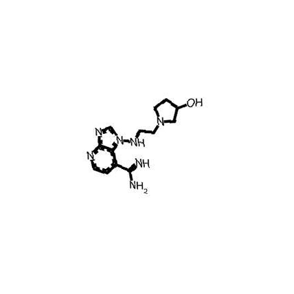 N=C(N)c1ccnc2ncn(NCCN3CCC(O)C3)c12